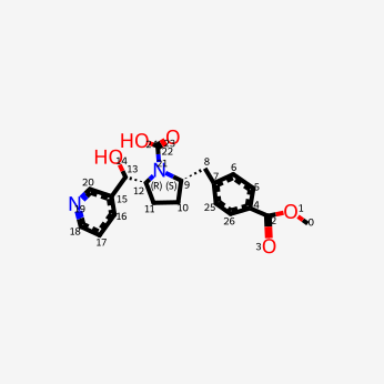 COC(=O)c1ccc(C[C@@H]2CC[C@H](C(O)c3cccnc3)N2C(=O)O)cc1